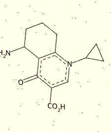 NC1CCCc2c1c(=O)c(C(=O)O)cn2C1CC1